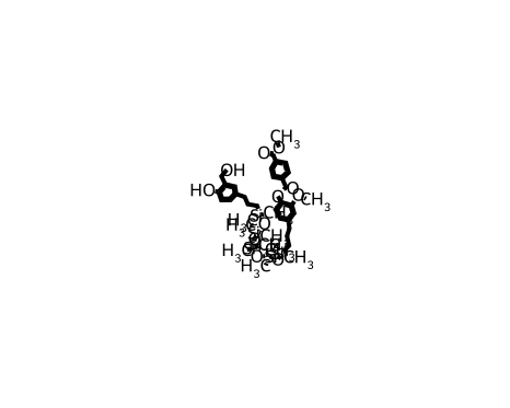 COC(=O)c1ccc(C(=O)Oc2ccc(CCC[Si](C)(C)O[Si](C)(C)O[Si](C)(C)O[Si](C)(C)O[Si](C)(C)CCCc3ccc(O)c(CO)c3)cc2OC)cc1